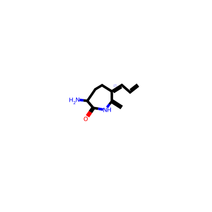 C=C/C=C1/CCC(N)C(=O)NC1=C